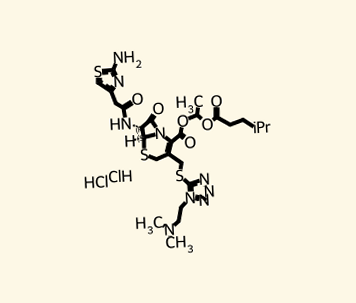 CC(C)CCC(=O)OC(C)OC(=O)C1=C(CSc2nnnn2CCN(C)C)CS[C@H]2[C@H](NC(=O)Cc3csc(N)n3)C(=O)N12.Cl.Cl